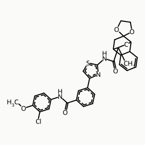 COc1ccc(NC(=O)c2cccc(-c3csc(NC(=O)C4(C)CC5C6C=CC=CC6C4CC54OCCO4)n3)c2)cc1Cl